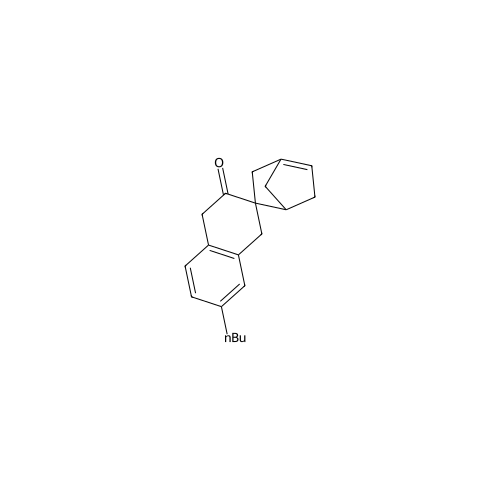 CCCCc1ccc2c(c1)CC1(CC3=CCC1C3)C(=O)C2